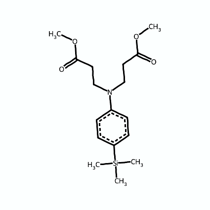 COC(=O)CCN(CCC(=O)OC)c1ccc([Si](C)(C)C)cc1